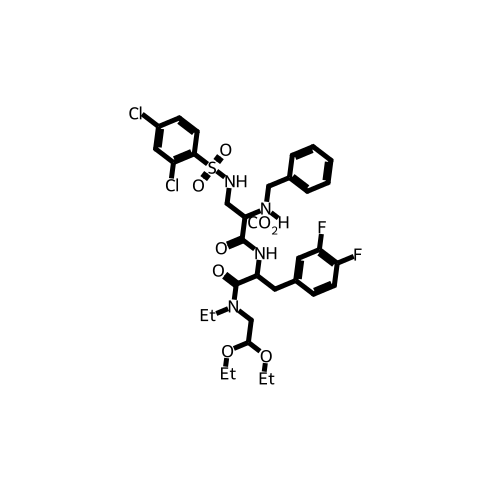 CCOC(CN(CC)C(=O)C(Cc1ccc(F)c(F)c1)NC(=O)C(CNS(=O)(=O)c1ccc(Cl)cc1Cl)N(Cc1ccccc1)C(=O)O)OCC